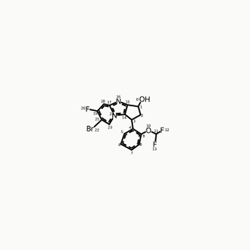 OC1CC(c2ccccc2OC(F)F)c2c1nc1cc(F)c(Br)cn21